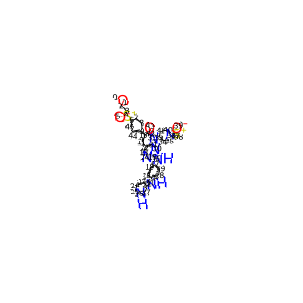 COCC[S+]([O-])c1ccc(-c2cc3cnc(Nc4ccc(NC5CCCNC5)cc4)nc3n(C3CCN([S+](C)[O-])CC3)c2=O)cc1